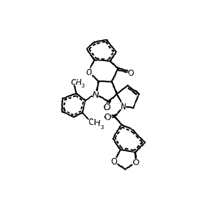 Cc1cccc(C)c1N1C(=O)C2(C=CCN2C(=O)c2ccc3c(c2)OCO3)C2C(=O)c3ccccc3OC21